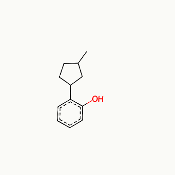 CC1CCC(c2ccccc2O)C1